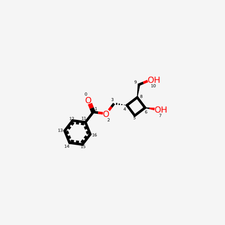 O=C(OC[C@H]1C[C@H](O)[C@@H]1CO)c1ccccc1